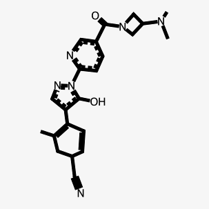 CC1=C(c2cnn(-c3ccc(C(=O)N4CC(N(C)C)C4)cn3)c2O)C=CC(C#N)C1